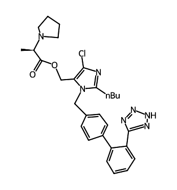 CCCCc1nc(Cl)c(COC(=O)[C@@H](C)N2CCCC2)n1Cc1ccc(-c2ccccc2-c2nn[nH]n2)cc1